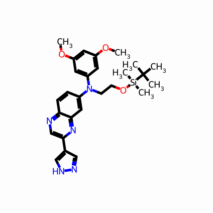 COc1cc(OC)cc(N(CCO[Si](C)(C)C(C)(C)C)c2ccc3ncc(-c4cn[nH]c4)nc3c2)c1